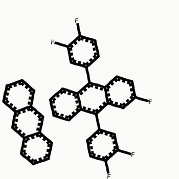 Fc1ccc2c(-c3ccc(F)c(F)c3)c3ccccc3c(-c3ccc(F)c(F)c3)c2c1.c1ccc2cc3ccccc3cc2c1